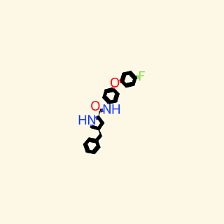 O=C(Nc1ccc(Oc2ccc(F)cc2)cc1)[C@@H]1C[C@@H](Cc2ccccc2)CN1